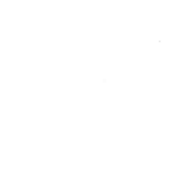 CCCOC1C=CC(C(c2ccccc2)(c2ccccc2)c2ccc(O)cc2)=CC1